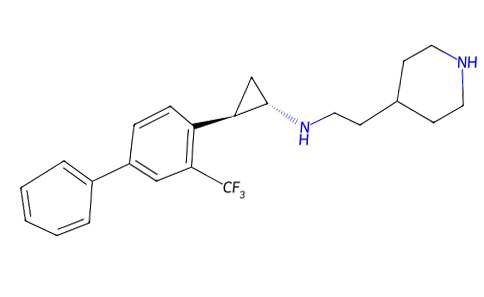 FC(F)(F)c1cc(-c2ccccc2)ccc1[C@H]1C[C@@H]1NCCC1CCNCC1